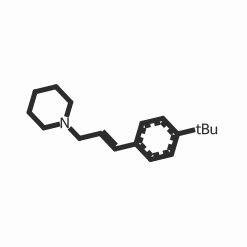 CC(C)(C)c1ccc(/C=C/CN2CCCCC2)cc1